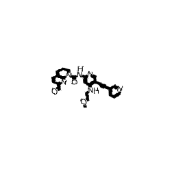 COCCNc1cc(NC(=O)N2CCCc3ccc(C=O)nc32)ncc1C#Cc1cccnc1